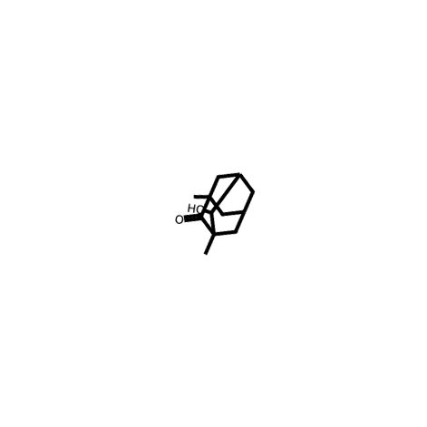 CC12CC3CC(C1)C(O)C(C)(C3)C2=O